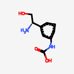 N[C@H](CO)c1cccc(NC(=O)O)c1